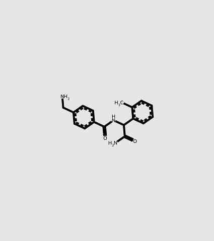 Cc1ccccc1C(NC(=O)c1ccc(CN)cc1)C(N)=O